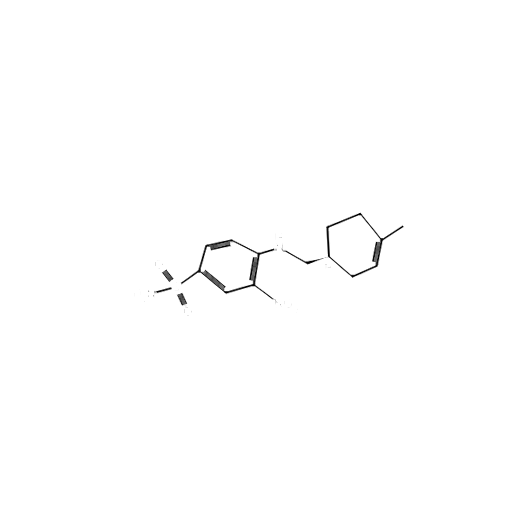 CC1=CC[C@@H](CNc2ccc(S(N)(=O)=O)cc2[N+](=O)[O-])CC1